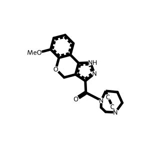 COc1cccc2c1OCc1c(C(=O)N3CCN4CCC3CC4)n[nH]c1-2